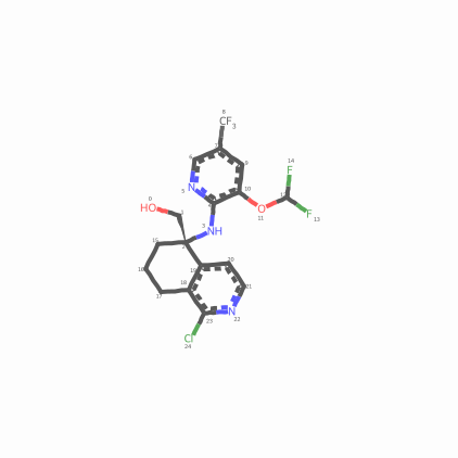 OC[C@]1(Nc2ncc(C(F)(F)F)cc2OC(F)F)CCCc2c1ccnc2Cl